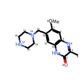 COc1cc2nc(C)c(=O)[nH]c2cc1CN1CCNCC1